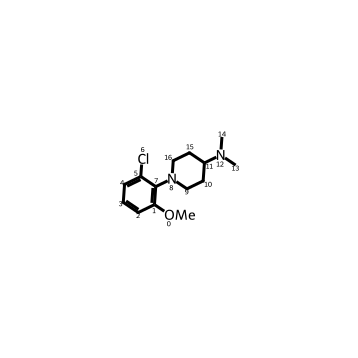 COc1cccc(Cl)c1N1CCC(N(C)C)CC1